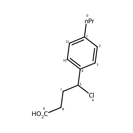 CCCc1ccc(C(Cl)CCC(=O)O)cc1